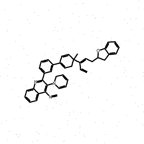 C=C/C(=C\CC1Cc2ccccc2O1)C1(C)C=CC(c2cccc(-c3nc4ccccc4c(N=C)c3N3C=CC=CC3)c2)=CC1